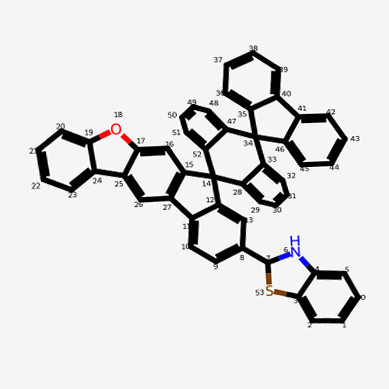 c1ccc2c(c1)NC(c1ccc3c(c1)C1(c4cc5oc6ccccc6c5cc4-3)c3ccccc3C3(c4ccccc4-c4ccccc43)c3ccccc31)S2